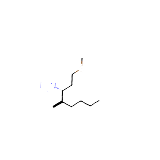 C=C(CCCC)[C@@H](N)CCSC